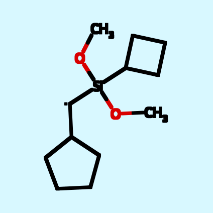 CO[Si]([CH]C1CCCC1)(OC)C1CCC1